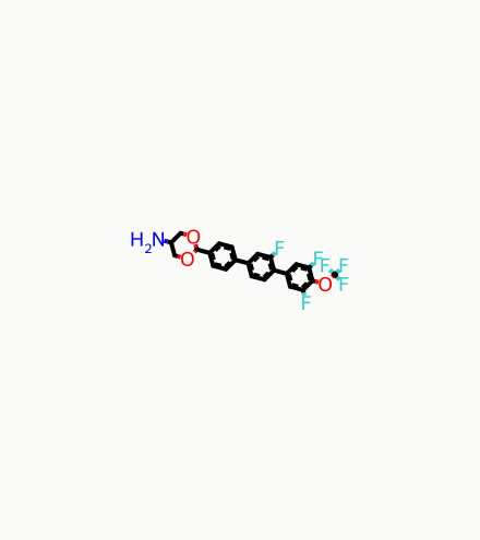 NC1COC(c2ccc(-c3ccc(-c4cc(F)c(OC(F)(F)F)c(F)c4)c(F)c3)cc2)OC1